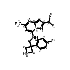 Fc1ccc(C2(CNc3cc(C(F)(F)F)nc4cc(C(F)F)nn34)CNC2)cc1